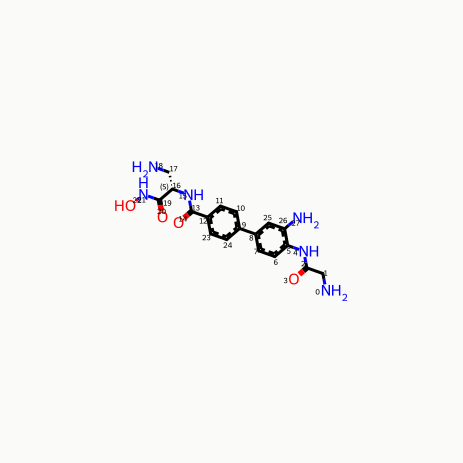 NCC(=O)Nc1ccc(-c2ccc(C(=O)N[C@@H](CN)C(=O)NO)cc2)cc1N